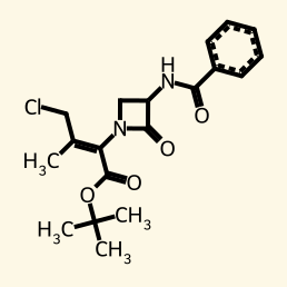 CC(CCl)=C(C(=O)OC(C)(C)C)N1CC(NC(=O)c2ccccc2)C1=O